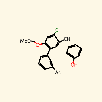 COCOc1cc(Cl)c(C#N)cc1-c1cccc(C(C)=O)c1.Oc1ccccc1